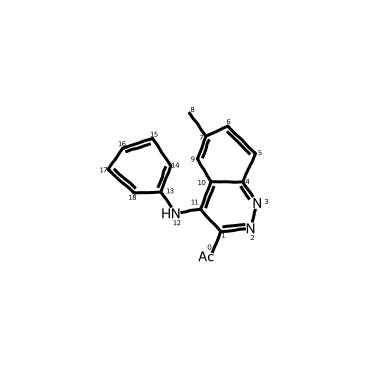 CC(=O)c1nnc2ccc(C)cc2c1Nc1ccccc1